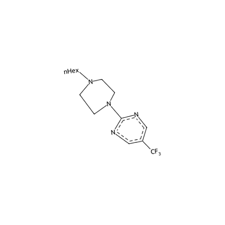 CCCCCCN1CCN(c2ncc(C(F)(F)F)cn2)CC1